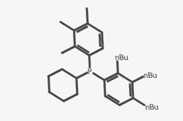 CCCCc1ccc(P(c2ccc(C)c(C)c2C)C2CCCCC2)c(CCCC)c1CCCC